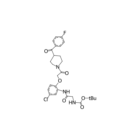 CC(C)(C)OC(=O)NCC(=O)Nc1cc(Cl)ccc1OCC(=O)N1CCC(C(=O)c2ccc(F)cc2)CC1